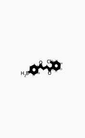 Bc1ccc(C(=O)CCC(=O)c2ccccc2Cl)cc1